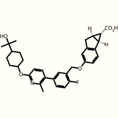 Cc1nc(OC2CCC(C(C)(C)O)CC2)ccc1-c1ccc(F)c(COc2ccc3c(c2)C[C@H]2[C@H](C(=O)O)[C@@H]32)c1